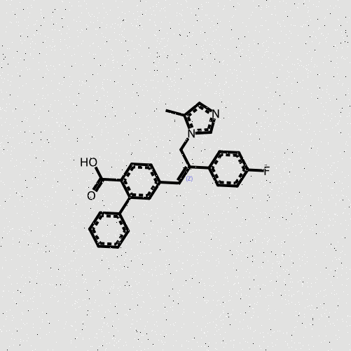 Cc1cncn1C/C(=C\c1ccc(C(=O)O)c(-c2ccccc2)c1)c1ccc(F)cc1